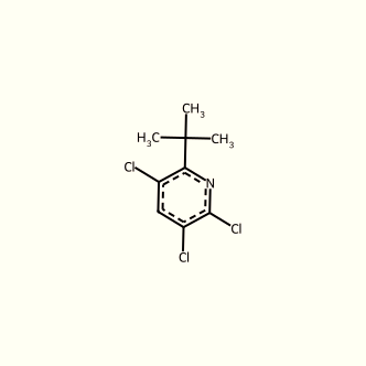 CC(C)(C)c1nc(Cl)c(Cl)cc1Cl